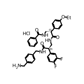 CCOc1ccc([C@@H](CNC(=O)c2ccccc2)C(=O)NC[C@H](C(=O)NCc2ccc(CN)cc2)c2ccc(F)c(F)c2)cc1.Cl